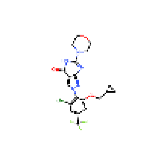 O=c1[nH]c(N2CCOCC2)nc2nn(-c3c(Cl)cc(C(F)(F)F)cc3OCC3CC3)cc12